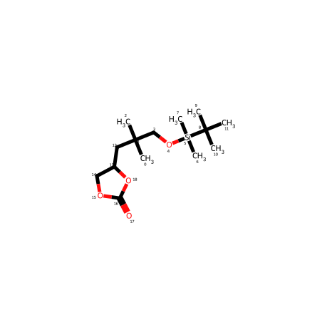 CC(C)(CO[Si](C)(C)C(C)(C)C)CC1COC(=O)O1